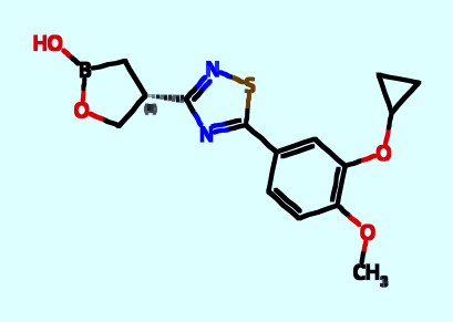 COc1ccc(-c2nc([C@@H]3COB(O)C3)ns2)cc1OC1CC1